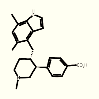 Cc1cc(C)c2[nH]ccc2c1C[C@H]1CCN(C)C[C@@H]1c1ccc(C(=O)O)cc1